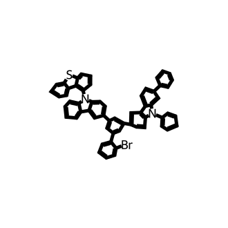 Brc1ccccc1-c1cc(-c2ccc3c(c2)c2ccc(-c4ccccc4)cc2n3-c2ccccc2)cc(-c2ccc3c(c2)c2ccccc2n3-c2cccc3sc4ccccc4c23)c1